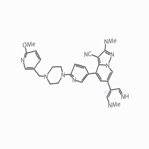 CN/C=C(\C=N)c1cc(-c2ccc(N3CCN(Cc4ccc(OC)nc4)CC3)nc2)c2c(C#N)c(NC)nn2c1